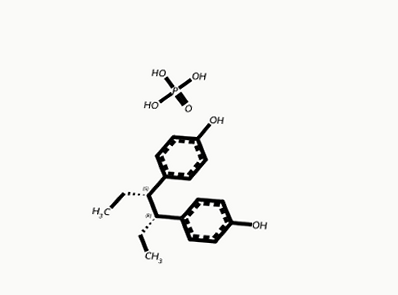 CC[C@H](c1ccc(O)cc1)[C@@H](CC)c1ccc(O)cc1.O=P(O)(O)O